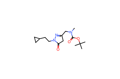 CN(CC1=NN(CCC2CC2)C(=O)C1)C(=O)OC(C)(C)C